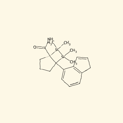 C[Si]1(C)C2(C([NH])=O)CCCC2(c2cccc3c2C=CC3)[Si]1(C)C